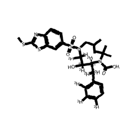 [2H]c1ccc(C([2H])([2H])[C@]([2H])(N(C(=O)O)C(C)(C)C)[C@]([2H])(O)C([2H])([2H])N(CC(C)C)S(=O)(=O)c2ccc3nc(SC)sc3c2)c([2H])c1[2H]